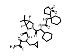 CC1(C)[C@@H]2[C@@H](C(=O)NC(CC3CC3)C(=O)C(N)=O)N(C(=O)[C@@H](NC(=O)NC3(C4CCCS4(=O)=O)CCCCC3)C3CCCCC3)C[C@@H]21